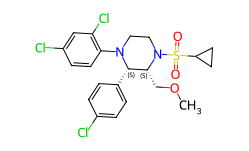 COC[C@@H]1[C@H](c2ccc(Cl)cc2)N(c2ccc(Cl)cc2Cl)CCN1S(=O)(=O)C1CC1